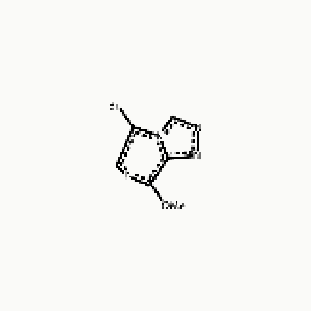 COc1ncc(Br)n2cnnc12